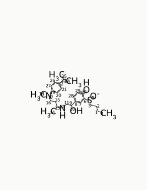 CCCC[S+]([O-])c1cc(C(O)CNC(C)CCN(C)c2ccc(C(C)C)cc2)ccc1O